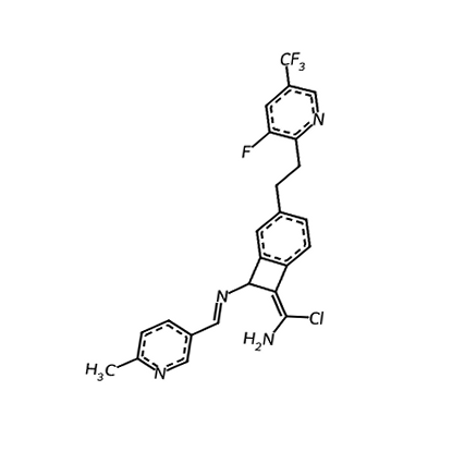 Cc1ccc(/C=N/C2/C(=C(\N)Cl)c3ccc(CCc4ncc(C(F)(F)F)cc4F)cc32)cn1